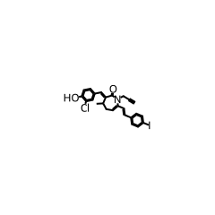 C#CCN1C(=O)/C(=C/c2ccc(O)c(Cl)c2)C(C)CC=C1/C=C/c1ccc(I)cc1